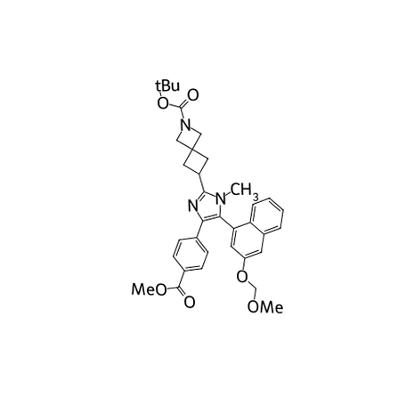 COCOc1cc(-c2c(-c3ccc(C(=O)OC)cc3)nc(C3CC4(C3)CN(C(=O)OC(C)(C)C)C4)n2C)c2ccccc2c1